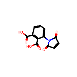 O=C(O)c1cccc(N2C(=O)C=CC2=O)c1C(=O)O